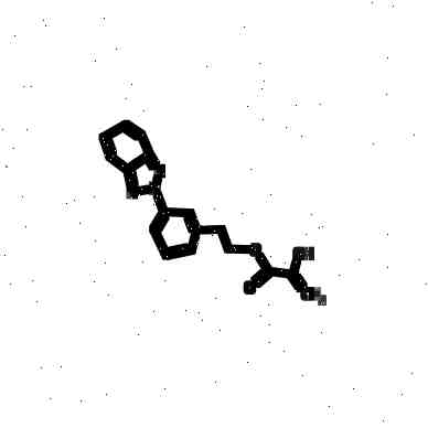 C=C(O)C(=O)OCCc1cccc(-n2nc3ccccc3n2)c1